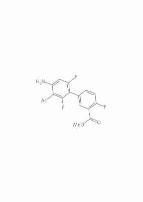 COC(=O)c1cc(-c2c(F)cc(N)c(C(C)=O)c2F)ccc1F